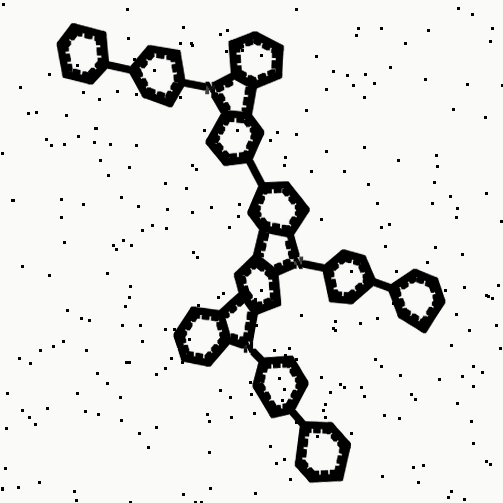 c1ccc(-c2ccc(-n3c4ccccc4c4cc(-c5ccc6c(c5)c5cc7c8ccccc8n(-c8ccc(-c9ccccc9)cc8)c7cc5n6-c5ccc(-c6ccccc6)cc5)ccc43)cc2)cc1